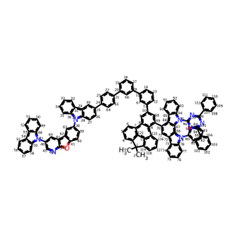 CC1(C)c2cccc3c4cc(-c5cccc(-c6cccc(-c7ccc(-c8ccc9c(c8)c8ccccc8n9-c8ccc9oc%10ncc(-n%11c%12ccccc%12c%12ccccc%12%11)cc%10c9c8)cc7)c6)c5)cc(-c5cc6c7ccccc7n(-c7ccccc7)c6c6c5c5ccccc5n6-c5nc(-c6ccccc6)nc(-c6ccccc6)n5)c4c4cccc1c4c23